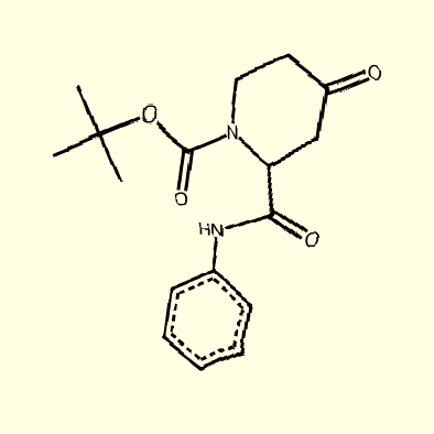 CC(C)(C)OC(=O)N1CCC(=O)CC1C(=O)Nc1ccccc1